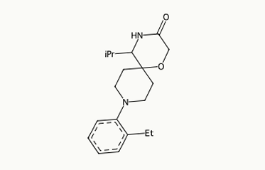 CCc1ccccc1N1CCC2(CC1)OCC(=O)NC2C(C)C